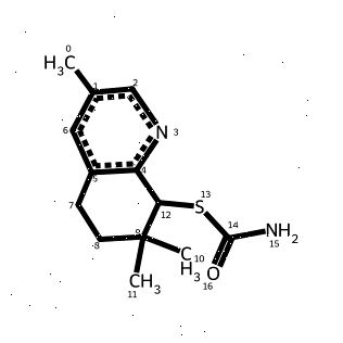 Cc1cnc2c(c1)CCC(C)(C)C2SC(N)=O